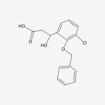 O=C(O)CC(O)c1cccc(Cl)c1OCc1ccccc1